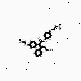 COCOc1ccc(C(C(=O)Nc2ccc(OCCN(C)C)cc2)=C(CCO)c2ccccc2)cc1